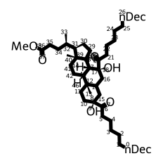 CCCCCCCCCCCCCCCC(=O)[C@@]1(O)CC[C@@]2(C)C(C1)C[C@](O)(C(=O)CCCCCCCCCCCCCCC)[C@H]1[C@@H]3CC[C@H]([C@H](C)CCC(=O)OC)[C@@]3(C)CC[C@@H]12